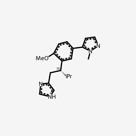 COc1ccc(-c2ccnn2C)cc1[C@@H](Cc1c[nH]cn1)C(C)C